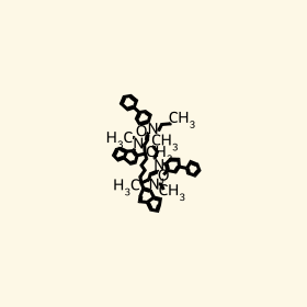 CCCCN1C(=CC2=[N+](CC)c3c(ccc4ccccc34)C2(C)CCCCC2(C)C(C=C3Oc4cc(-c5ccccc5)ccc4N3CCCC)=[N+](CC)c3c2ccc2ccccc32)Oc2cc(-c3ccccc3)ccc21